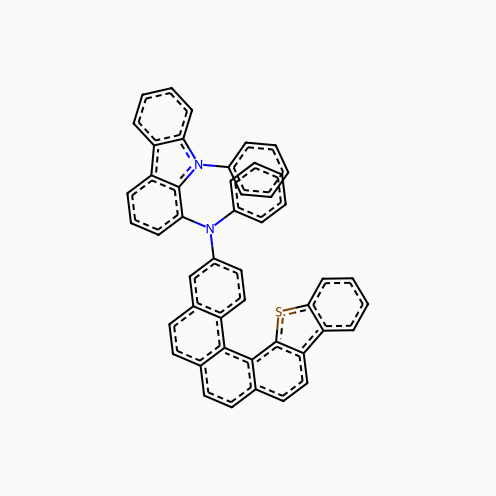 c1ccc(N(c2ccc3c(ccc4ccc5ccc6c7ccccc7sc6c5c43)c2)c2cccc3c4ccccc4n(-c4ccccc4)c23)cc1